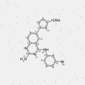 CSc1ccc(-c2ccc3nc(N)nc(Nc4cccc(Br)c4)c3c2)s1